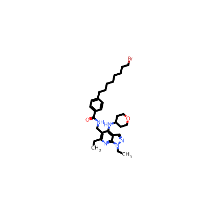 CCc1nc2c(cnn2CC)c(NC2CCOCC2)c1CNC(=O)c1ccc(CCCCCCCCBr)cc1